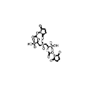 O=C(OC(CS(=O)(=O)CC(OC(=O)ON1C(=O)CCC1=O)S(=O)(=O)O)S(=O)(=O)O)ON1C(=O)CCC1=O